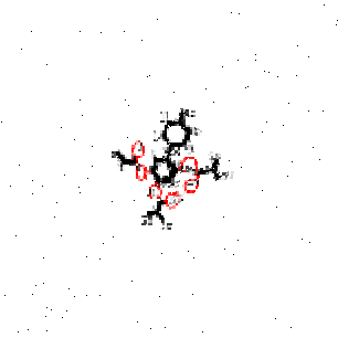 C=CC(=O)Oc1cc(C2CCC(C)CC2)c(OC(=O)C(=C)C)cc1OC(=O)C(=C)C